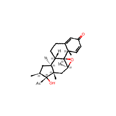 CC(=O)[C@@]1(O)[C@@H](C)C[C@H]2[C@@H]3CCC4=CC(=O)C=C[C@]4(C)[C@@]34O[C@H]4C[C@@]21C